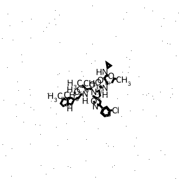 CCC[C@H](NC(=O)[C@@H]1C[C@]2(CC(c3cccc(Cl)c3)=NO2)CN1C(=O)[C@@H](NC(=O)CC1C[C@H]2CC[C@@]3(C)C1C23C)C(C)(C)C)C(=O)C(=O)NC1CC1